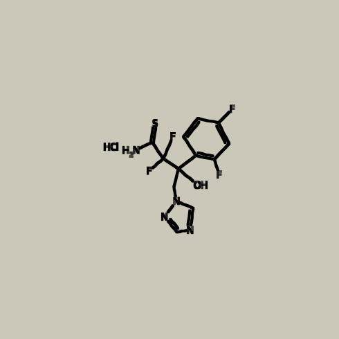 Cl.NC(=S)C(F)(F)C(O)(Cn1cncn1)c1ccc(F)cc1F